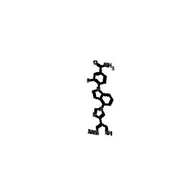 CN/C=C(\C=N)c1cn(-c2cccc3c2ccn3-c2ccc(C(N)=O)cc2F)cn1